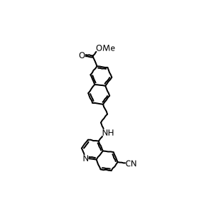 COC(=O)c1ccc2cc(CCNc3ccnc4ccc(C#N)cc34)ccc2c1